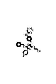 COCCOc1nc(N2CCN(C)CC2)c(OCc2ccccc2)nc1Sc1ccc(NC(=O)CN)cc1